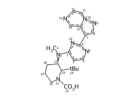 CN(c1ccnc(-c2cnn3ccncc23)n1)[C@@H]1CCCN(C(=O)O)C1C(C)(C)C